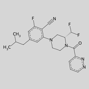 CC(C)Cc1cc(F)c(C#N)c(N2CCN(C(=O)c3cccnn3)[C@@H](C(F)F)C2)c1